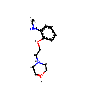 CC(C)(C)Nc1ccccc1OCCN1CCOCC1